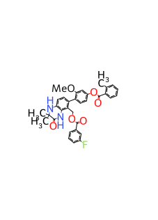 COc1cc(OC(=O)c2ccccc2C)ccc1-c1ccc2c(c1COC(=O)c1cccc(F)c1)NC(=O)C(C)(C)N2